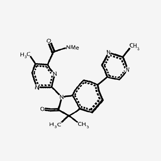 CNC(=O)c1nc(N2C(=O)C(C)(C)c3ccc(-c4cnc(C)nc4)cc32)ncc1C